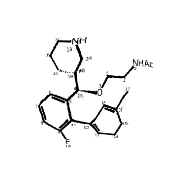 CC(=O)NCCO[C@@H](c1cccc(F)c1C1=CCCC(C)=C1)[C@@H]1CCCNC1